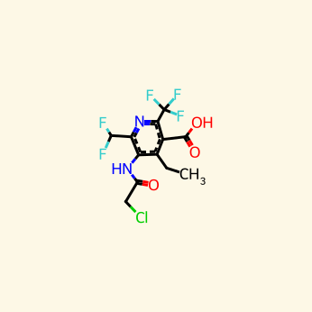 CCc1c(NC(=O)CCl)c(C(F)F)nc(C(F)(F)F)c1C(=O)O